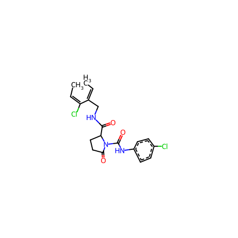 C/C=C(CNC(=O)C1CCC(=O)N1C(=O)Nc1ccc(Cl)cc1)\C(Cl)=C/C